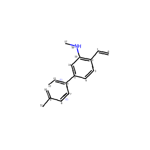 C=Cc1ccc(C(/C=C\C(=C)C)=C/C)cc1NC